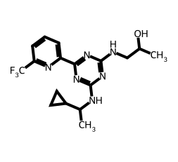 CC(O)CNc1nc(NC(C)C2CC2)nc(-c2cccc(C(F)(F)F)n2)n1